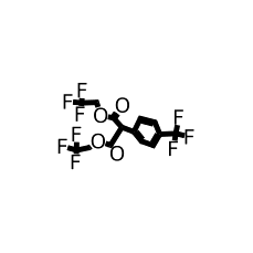 O=C(OCC(F)(F)F)C(C(=O)OCC(F)(F)F)c1ccc(C(F)(F)F)cc1